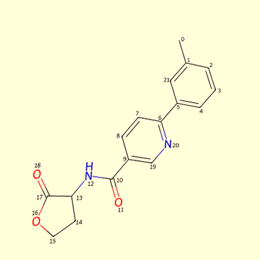 Cc1cccc(-c2ccc(C(=O)NC3CCOC3=O)cn2)c1